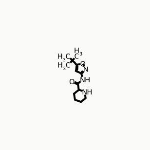 CC(C)(C)c1cc(NC(=O)C2CCCCN2)no1